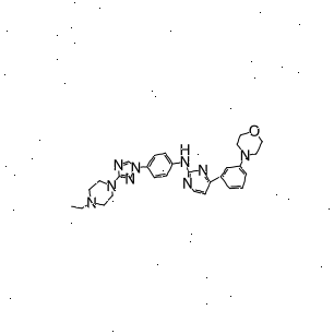 CCN1CCN(c2ncn(-c3ccc(Nc4nccc(-c5cccc(N6CCOCC6)c5)n4)cc3)n2)CC1